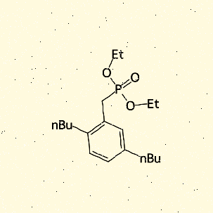 CCCCc1ccc(CCCC)c(CP(=O)(OCC)OCC)c1